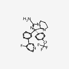 NC1=N[C@](c2ccc(OC(F)(F)F)cc2)(c2cccc(-c3cnccc3F)c2)C2=NCCCN12